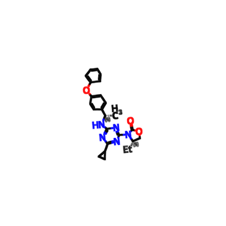 CC[C@H]1COC(=O)N1c1nc(N[C@@H](C)c2ccc(Oc3ccccc3)cc2)nc(C2CC2)n1